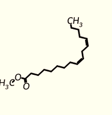 CCCC/C=C\C/C=C\CCCCCCCC(=O)OC